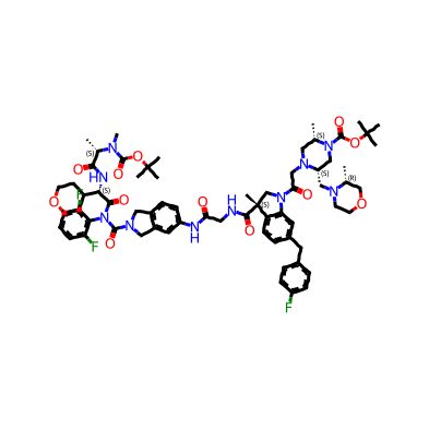 C[C@@H]1COCCN1C[C@H]1CN(C(=O)OC(C)(C)C)[C@@H](C)CN1CC(=O)N1C[C@@](C)(C(=O)NCC(=O)Nc2ccc3c(c2)CN(C(=O)N(C(=O)[C@@H](NC(=O)[C@H](C)N(C)C(=O)OC(C)(C)C)C2CCOCC2)c2c(F)cccc2F)C3)c2ccc(Cc3ccc(F)cc3)cc21